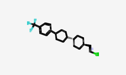 FC(F)(F)c1ccc(C2CCC([C@H]3CC[C@H](/C=C/Cl)CC3)CC2)cc1